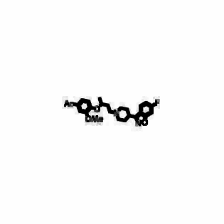 COc1cc(C(C)=O)ccc1OC(C)CCN1CCC(c2noc3cc(F)ccc23)CC1